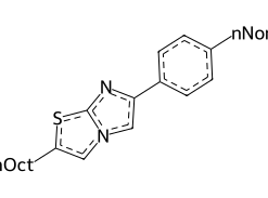 CCCCCCCCCc1ccc(-c2cn3cc(CCCCCCCC)sc3n2)cc1